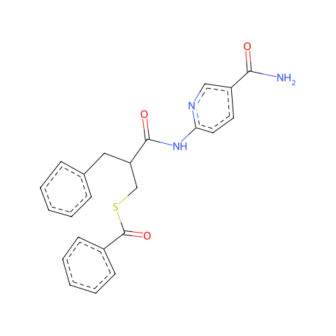 NC(=O)c1ccc(NC(=O)C(CSC(=O)c2ccccc2)Cc2ccccc2)nc1